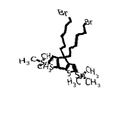 [CH3][Sn]([CH3])([CH3])[c]1cc2c(s1)-c1s[c]([Sn]([CH3])([CH3])[CH3])cc1C2(CCCCCCBr)CCCCCCBr